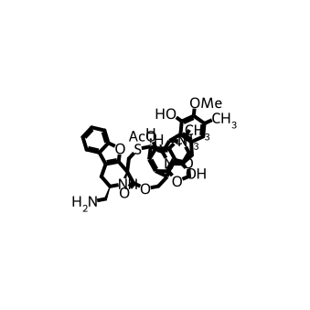 COc1c(C)cc2c(c1O)C1[C@@H]3[C@@H]4SC[C@]5(N[C@@H](CN)Cc6c5oc5ccccc65)C(=O)OCC(c5c6c(c(C)c(OC(C)=O)c54)OCO6)N3C(O)(C2)CN1C